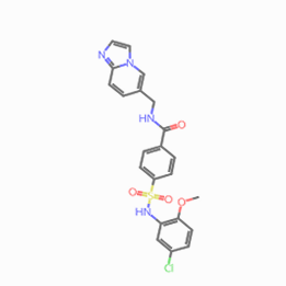 COc1ccc(Cl)cc1NS(=O)(=O)c1ccc(C(=O)NCc2ccc3nccn3c2)cc1